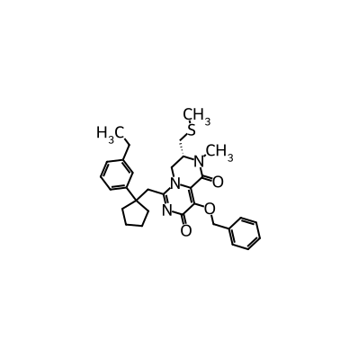 CCc1cccc(C2(Cc3nc(=O)c(OCc4ccccc4)c4n3C[C@H](CSC)N(C)C4=O)CCCC2)c1